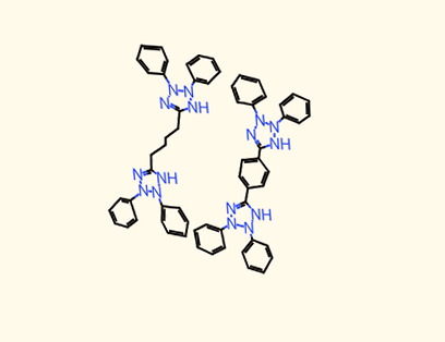 c1ccc(N2N=C(CCCCC3=NN(c4ccccc4)N(c4ccccc4)N3)NN2c2ccccc2)cc1.c1ccc(N2N=C(c3ccc(C4=NN(c5ccccc5)N(c5ccccc5)N4)cc3)NN2c2ccccc2)cc1